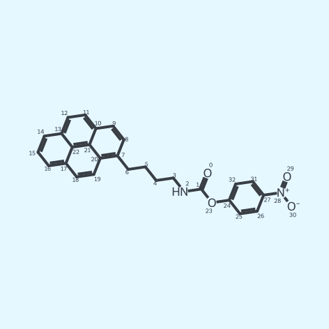 O=C(NCCCCc1ccc2ccc3cccc4ccc1c2c34)Oc1ccc([N+](=O)[O-])cc1